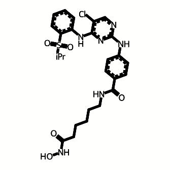 CC(C)S(=O)(=O)c1ccccc1Nc1nc(Nc2ccc(C(=O)NCCCCCC(=O)NO)cc2)ncc1Cl